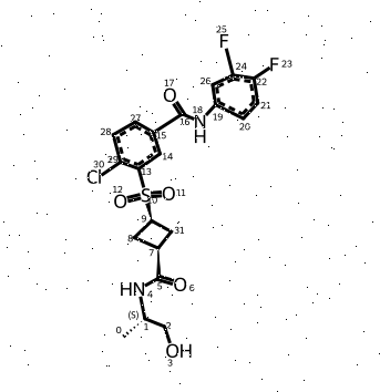 C[C@@H](CO)NC(=O)[C@H]1C[C@@H](S(=O)(=O)c2cc(C(=O)Nc3ccc(F)c(F)c3)ccc2Cl)C1